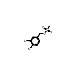 CS(=O)(=O)OCc1ccc(Cl)c(Cl)c1